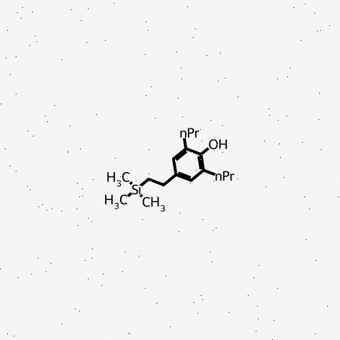 CCCc1cc(CC[Si](C)(C)C)cc(CCC)c1O